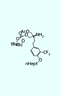 CCCCCCCOc1ccc(CC[C@@](N)(COC(C)=O)COP(=O)(OC(C)(C)C)OC(C)(C)C)cc1C(F)(F)F